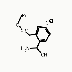 CC(C)[O][Sn+2][CH2]c1ccccc1C(C)N.[Cl-].[Cl-]